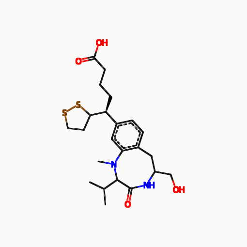 CC(C)C1C(=O)NC(CO)Cc2ccc([C@H](CCCC(=O)O)C3CCSS3)cc2N1C